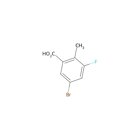 Cc1c(F)cc(Br)cc1C(=O)O